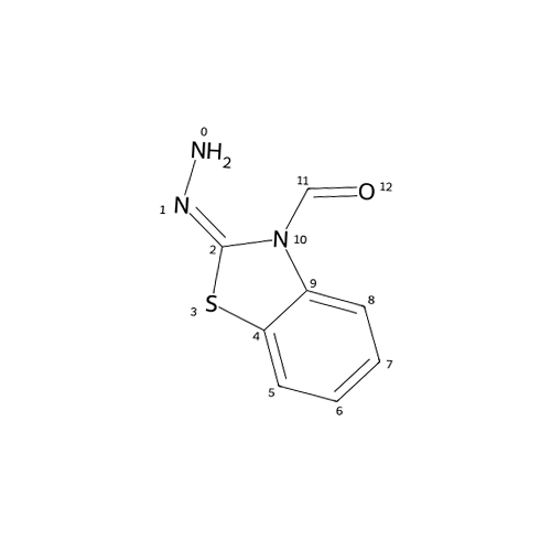 NN=c1sc2ccccc2n1C=O